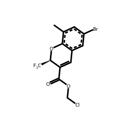 Cc1cc(Br)cc2c1O[C@H](C(F)(F)F)C(C(=O)OCCl)=C2